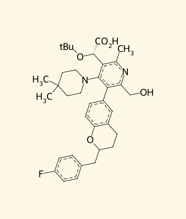 Cc1nc(CO)c(-c2ccc3c(c2)CCC(Cc2ccc(F)cc2)O3)c(N2CCC(C)(C)CC2)c1[C@H](OC(C)(C)C)C(=O)O